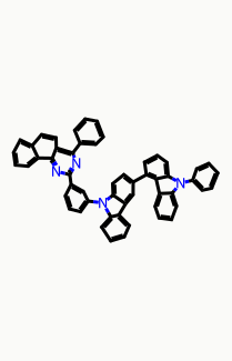 c1ccc(-c2nc(-c3cccc(-n4c5ccccc5c5cc(-c6cccc7c6c6ccccc6n7-c6ccccc6)ccc54)c3)nc3c2ccc2ccccc23)cc1